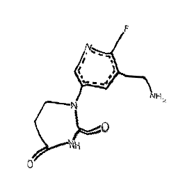 NCc1cc(N2CCC(=O)NC2=O)cnc1F